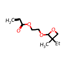 C=CC(=O)OCCOC1OCC1(C)CC